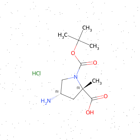 CC(C)(C)OC(=O)N1C[C@@H](N)C[C@@]1(C)C(=O)O.Cl